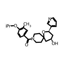 Cc1cc(C(=O)N2CCC3(CC2)C[C@H](O)C[C@H](c2cccnc2)O3)ccc1OC(C)C